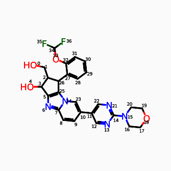 OCC1C(O)c2nc3ccc(-c4cnc(N5CCOCC5)nc4)cn3c2C1c1ccccc1OC(F)F